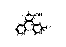 On1cnc(-c2cccnc2)c1-c1ccnc(F)c1